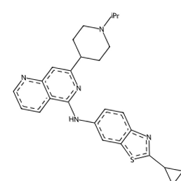 CC(C)N1CCC(c2cc3ncccc3c(Nc3ccc4nc(C5CC5)sc4c3)n2)CC1